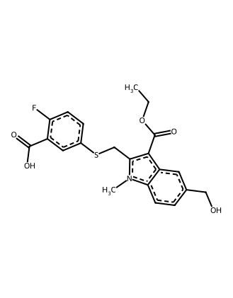 CCOC(=O)c1c(CSc2ccc(F)c(C(=O)O)c2)n(C)c2ccc(CO)cc12